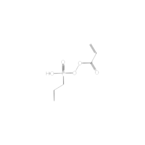 C=CC(=O)OOP(=O)(O)CCC